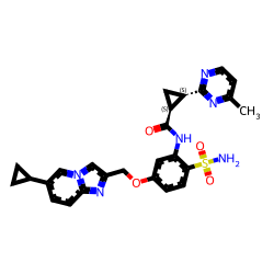 Cc1ccnc([C@H]2C[C@@H]2C(=O)Nc2cc(OCc3cn4cc(C5CC5)ccc4n3)ccc2S(N)(=O)=O)n1